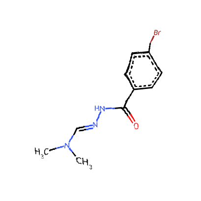 CN(C)/C=N/NC(=O)c1ccc(Br)cc1